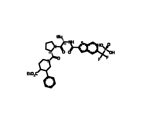 CCOC(=O)C1CCN(C(=O)[C@@H]2CCCN2C(=O)[C@@H](NC(=O)c2cc3cc(C(F)(F)P(=O)(O)O)ccc3s2)C(C)(C)C)CC1c1ccccc1